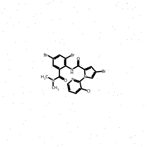 CN(C)C(=O)c1cc(Br)cc(Br)c1NC(=O)c1cc(Br)cn1-c1ncccc1Cl